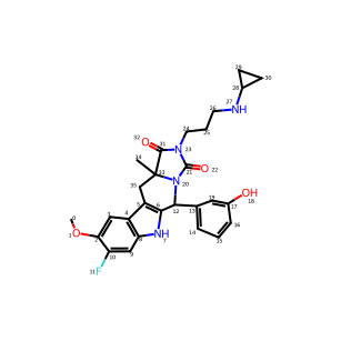 COc1cc2c3c([nH]c2cc1F)C(c1cccc(O)c1)N1C(=O)N(CCCNC2CC2)C(=O)C1(C)C3